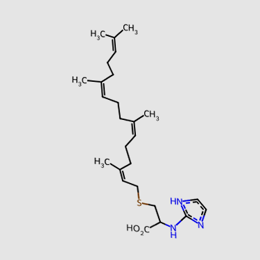 CC(C)=CCCC(C)=CCCC(C)=CCCC(C)=CCSCC(Nc1ncc[nH]1)C(=O)O